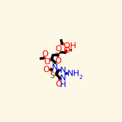 COCC(OC(C)O)[C@@H]1C[C@@H](OC(C)=O)[C@H](n2c(=O)sc3c(=O)[nH]c(N)nc32)O1